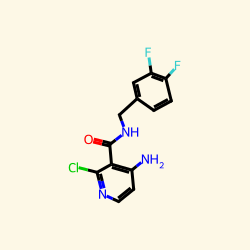 Nc1ccnc(Cl)c1C(=O)NCc1ccc(F)c(F)c1